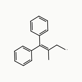 [CH2]CC(C)=C(c1ccccc1)c1ccccc1